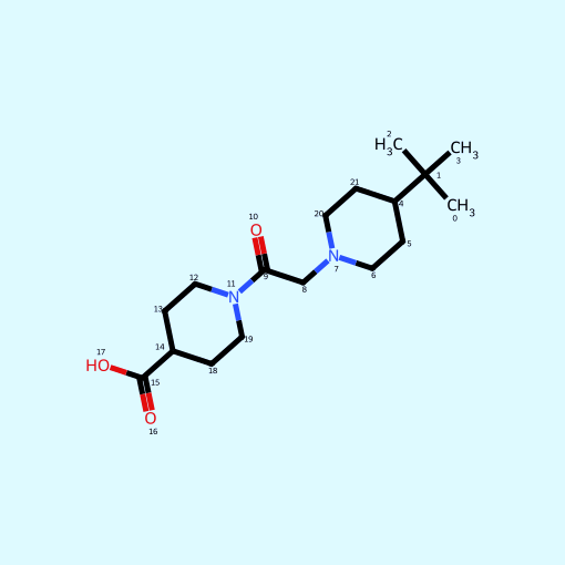 CC(C)(C)C1CCN(CC(=O)N2CCC(C(=O)O)CC2)CC1